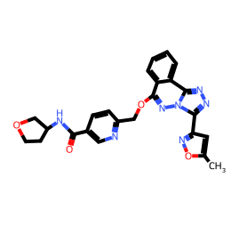 Cc1cc(-c2nnc3c4ccccc4c(OCc4ccc(C(=O)NC5CCOC5)cn4)nn23)no1